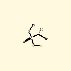 CCOP(=O)(OCC)[C@@H](Br)CC